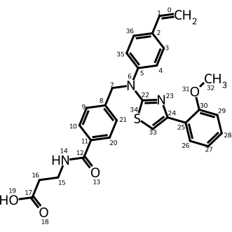 C=Cc1ccc(N(Cc2ccc(C(=O)NCCC(=O)O)cc2)c2nc(-c3ccccc3OC)cs2)cc1